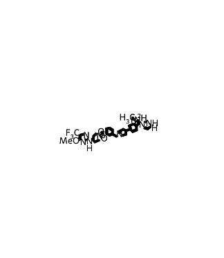 [2H]C1C=CN(c2nn(C)c3cc(C4CCN(Cc5cccc(S(=O)(=O)N6CCC(Nc7ncc(C(F)(F)F)c(OC)n7)CC6)c5)CC4)ccc23)C([2H])N1